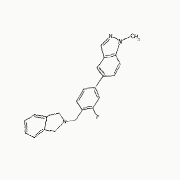 Cn1ncc2cc(-c3ccc(CN4Cc5ccccc5C4)c(F)c3)ccc21